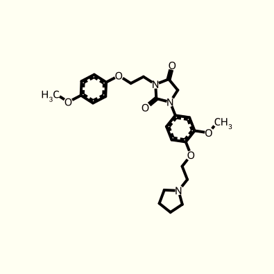 COc1ccc(OCCN2C(=O)CN(c3ccc(OCCN4CCCC4)c(OC)c3)C2=O)cc1